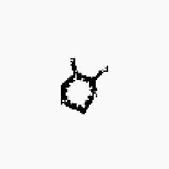 Clc1ncnc[n+]1Cl